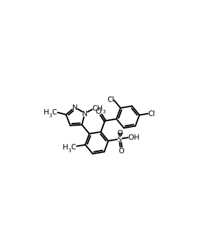 Cc1cc(-c2c(C)ccc(S(=O)(=O)O)c2C(=O)c2ccc(Cl)cc2Cl)n(C)n1